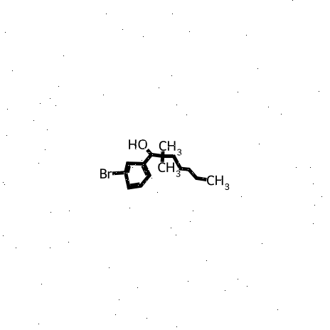 CCCCCC(C)(C)C(O)c1cccc(Br)c1